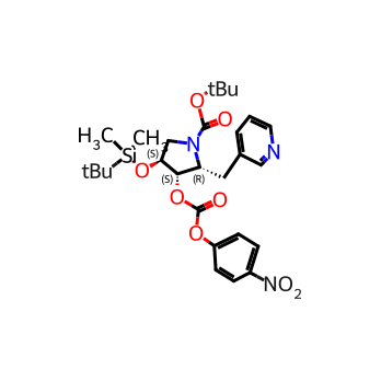 CC(C)(C)OC(=O)N1C[C@H](O[Si](C)(C)C(C)(C)C)[C@@H](OC(=O)Oc2ccc([N+](=O)[O-])cc2)[C@H]1Cc1cccnc1